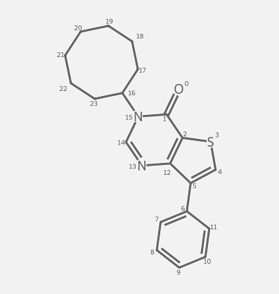 O=c1c2scc(-c3ccccc3)c2ncn1C1CCCCCCC1